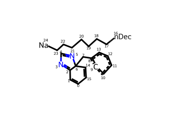 C1=CC2=NC=NC2(Cc2ccccc2)C=C1.CCCCCCCCCCCCCCCC[CH2][Na]